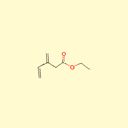 C=CC(=C)CC(=O)OCC